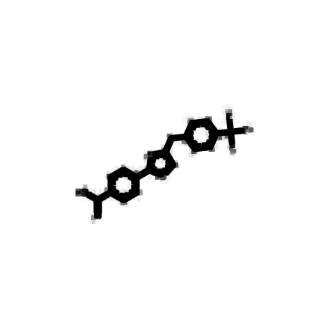 O=C(O)c1ccc(-c2nc(Cc3ccc(C(F)(F)F)cc3)cs2)cc1